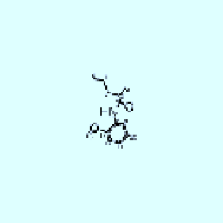 CCCC(C)C(=O)Nc1ccccc1OC